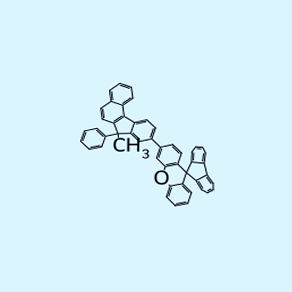 CC1(c2ccccc2)c2cc(-c3ccc4c(c3)Oc3ccccc3C43c4ccccc4-c4ccccc43)ccc2-c2c1ccc1ccccc21